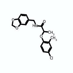 Cc1cc(Cl)ccc1OC(C)C(=O)NCc1ccc2c(c1)OCO2